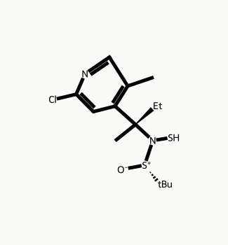 CC[C@@](C)(c1cc(Cl)ncc1C)N(S)[S@@+]([O-])C(C)(C)C